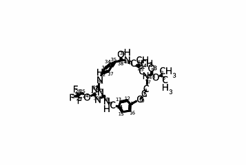 CC(C)OC(=O)N1CCCOc2ccc(cc2)CNc2nc(nc(OCC(F)(F)F)n2)Nc2ccc(cc2)C(=O)NCC(C)(C)C1